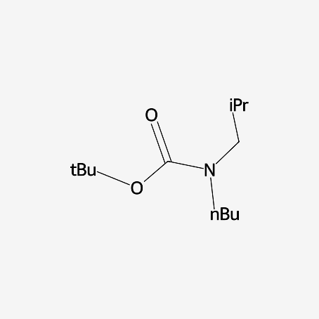 CCCCN(CC(C)C)C(=O)OC(C)(C)C